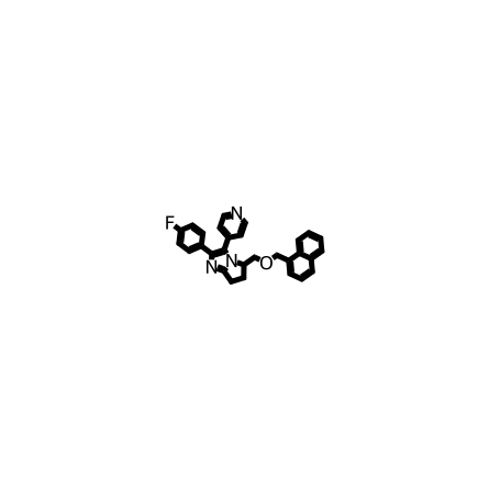 Fc1ccc(-c2nc3n(c2-c2ccncc2)C(COCc2cccc4ccccc24)CC3)cc1